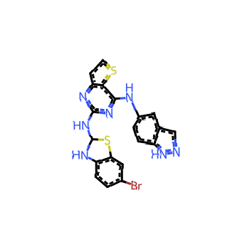 Brc1ccc2c(c1)SC(Nc1nc(Nc3ccc4[nH]ncc4c3)c3sccc3n1)N2